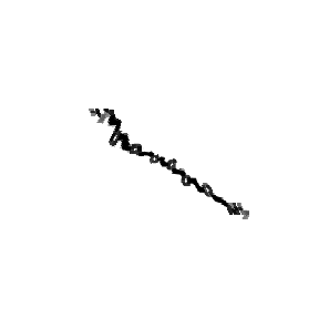 NCCOCCOCCOCCOCCOCCOCCN